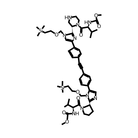 COC(=O)N[C@H](C(=O)N1CCNC[C@H]1c1nc(-c2ccc(C#Cc3ccc(-c4cnc([C@@H]5CCCN5C(=O)[C@@H](NC(=O)OC)C(C)C)n4COCC[Si](C)(C)C)cc3)cc2)cn1COCC[Si](C)(C)C)C(C)C